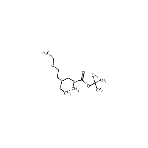 CCOCCC(CC)CN(C)C(=O)OC(C)(C)C